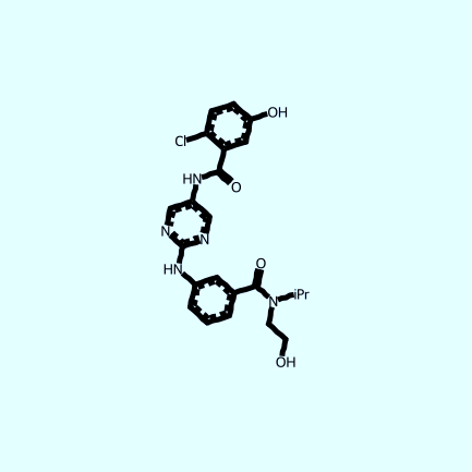 CC(C)N(CCO)C(=O)c1cccc(Nc2ncc(NC(=O)c3cc(O)ccc3Cl)cn2)c1